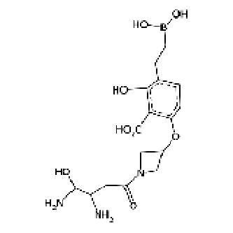 NC(O)C(N)CC(=O)N1CC(Oc2ccc(CCB(O)O)c(O)c2C(=O)O)C1